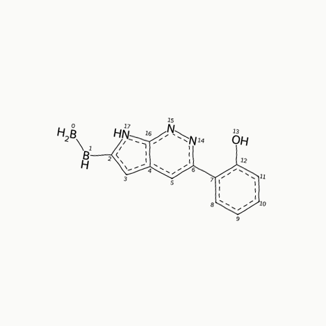 BBc1cc2cc(-c3ccccc3O)nnc2[nH]1